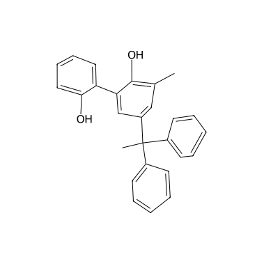 Cc1cc(C(C)(c2ccccc2)c2ccccc2)cc(-c2ccccc2O)c1O